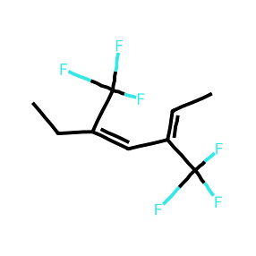 CC=C(C=C(CC)C(F)(F)F)C(F)(F)F